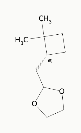 CC1(C)CC[C@@H]1CC1OCCO1